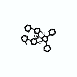 Cc1ccccc1-c1ccc2c(c1)P1(=O)c3cc(-c4ccccc4)ccc3Oc3c(-c4ccccc4)cc(-c4ccccc4)c(c31)O2